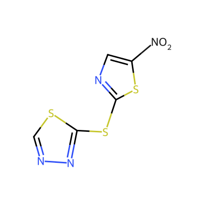 O=[N+]([O-])c1cnc(Sc2nncs2)s1